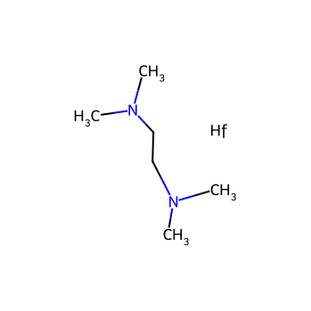 CN(C)CCN(C)C.[Hf]